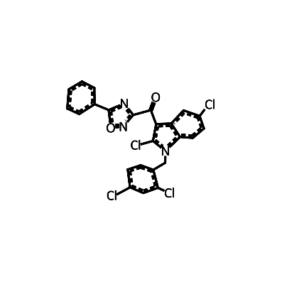 O=C(c1noc(-c2ccccc2)n1)c1c(Cl)n(Cc2ccc(Cl)cc2Cl)c2ccc(Cl)cc12